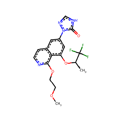 COCCOc1nccc2cc(-n3nc[nH]c3=O)cc(OC(C)C(F)(F)F)c12